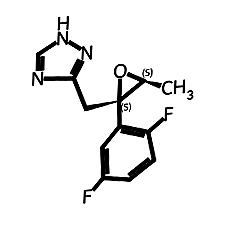 C[C@@H]1O[C@@]1(Cc1nc[nH]n1)c1cc(F)ccc1F